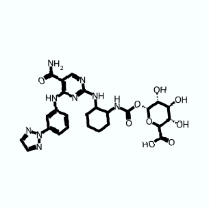 NC(=O)c1cnc(NC2CCCCC2NC(=O)O[C@H]2OC(C(=O)O)[C@@H](O)[C@H](O)[C@H]2O)nc1Nc1cccc(-n2nccn2)c1